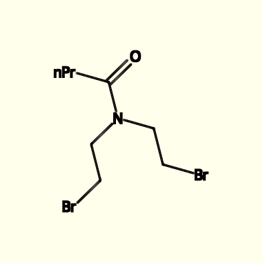 CCCC(=O)N(CCBr)CCBr